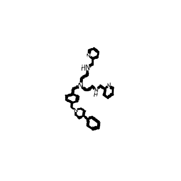 C1=C(c2ccccc2)CCN(Cc2ccc(CN(CCNCc3ccccn3)CCNCc3ccccn3)cc2)C1